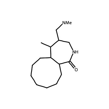 CNCC1CNC(=O)C2CCCCCCCC2C1C